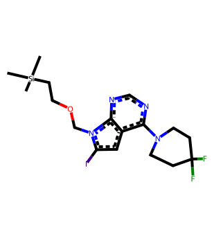 C[Si](C)(C)CCOCn1c(I)cc2c(N3CCC(F)(F)CC3)ncnc21